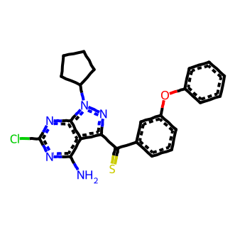 Nc1nc(Cl)nc2c1c(C(=S)c1cccc(Oc3ccccc3)c1)nn2C1CCCC1